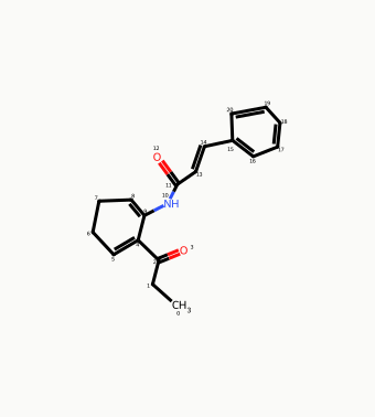 CCC(=O)C1=CCCC=C1NC(=O)/C=C/c1ccccc1